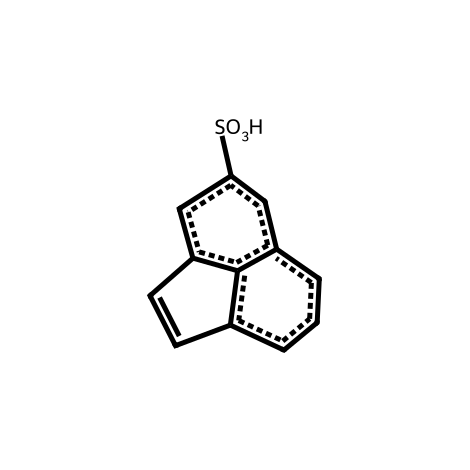 O=S(=O)(O)c1cc2c3c(cccc3c1)C=C2